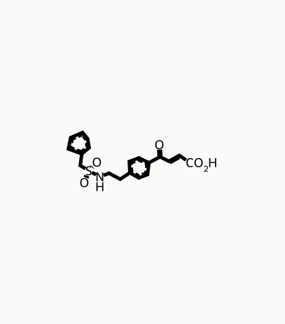 O=C(O)C=CC(=O)c1ccc(CCNS(=O)(=O)Cc2ccccc2)cc1